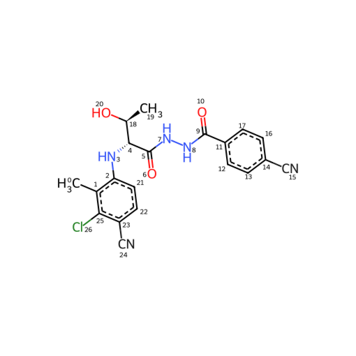 Cc1c(N[C@@H](C(=O)NNC(=O)c2ccc(C#N)cc2)[C@H](C)O)ccc(C#N)c1Cl